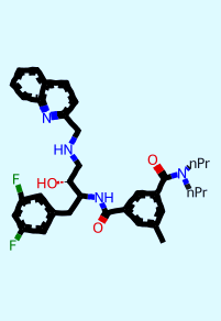 CCCN(CCC)C(=O)c1cc(C)cc(C(=O)NC(Cc2cc(F)cc(F)c2)[C@H](O)CNCc2ccc3ccccc3n2)c1